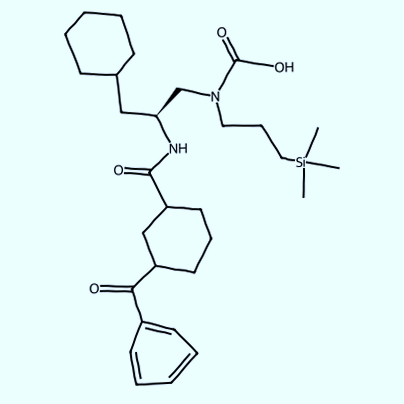 C[Si](C)(C)CCCN(C[C@H](CC1CCCCC1)NC(=O)C1CCCC(C(=O)c2ccccc2)C1)C(=O)O